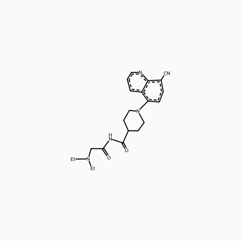 CCN(CC)CC(=O)NC(=O)C1CCN(c2ccc(C#N)c3ncccc23)CC1